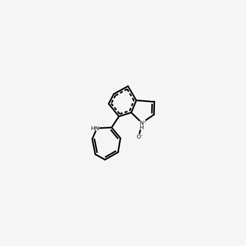 [O-][NH+]1C=Cc2cccc(C3=CC=CC=CN3)c21